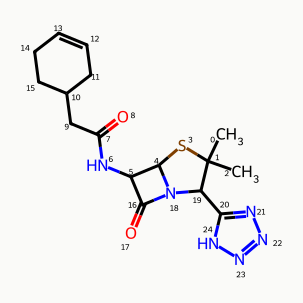 CC1(C)SC2C(NC(=O)CC3CC=CCC3)C(=O)N2C1c1nnn[nH]1